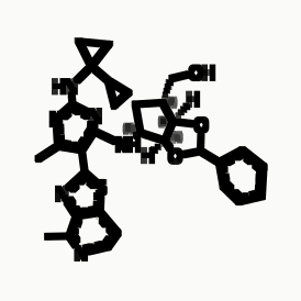 Cc1nc(NC2(C3CC3)CC2)nc(N[C@@H]2C[C@H](CO)[C@H]3OC(c4ccccc4)O[C@H]32)c1-c1nc2c(C)nccc2s1